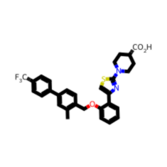 Cc1cc(-c2ccc(C(F)(F)F)cc2)ccc1COc1ccccc1-c1csc(N2CCC(C(=O)O)CC2)n1